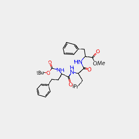 COC(=O)C(Cc1ccccc1)NC(=O)C(CC(C)C)NC(=O)C(CCc1ccccc1)NC(=O)OC(C)(C)C